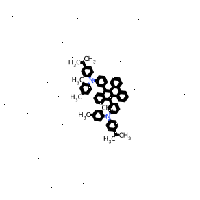 Cc1ccc(N(c2ccc(C(C)C)cc2)c2cccc(-c3c4ccccc4c(-c4cccc(N(c5ccc(C(C)C)cc5)c5ccc(C)cc5C)c4)c4c5ccccc5c5ccccc5c34)c2)c(C)c1